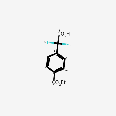 CCOC(=O)c1ccc(C(F)(F)C(=O)O)cc1